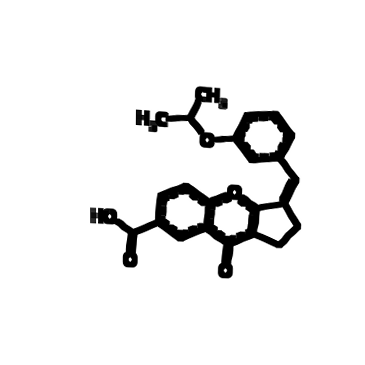 CC(C)Oc1cccc(/C=C2/CCc3c2oc2ccc(C(=O)O)cc2c3=O)c1